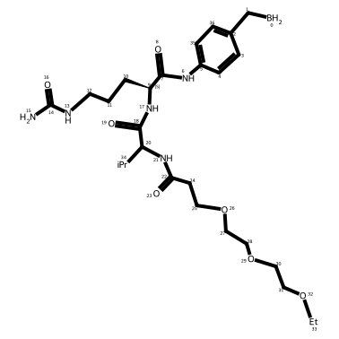 BCc1ccc(NC(=O)[C@H](CCCNC(N)=O)NC(=O)C(NC(=O)CCOCCOCCOCC)C(C)C)cc1